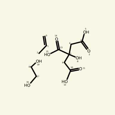 C=CC.O=C(O)CC(O)(CC(=O)O)C(=O)O.OCCO